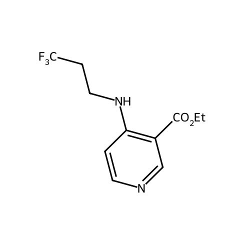 CCOC(=O)c1cnccc1NCCC(F)(F)F